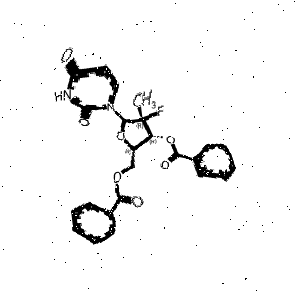 C[C@]1(F)C(n2ccc(=O)[nH]c2=O)O[C@H](COC(=O)c2ccccc2)[C@H]1OC(=O)c1ccccc1